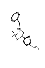 C[Si](C)(C)OC(CNCc1ccccc1)c1ccc([N+](=O)[O-])cc1